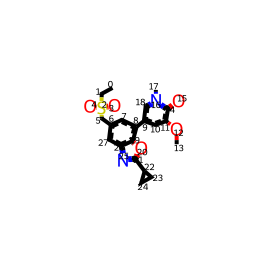 CCS(=O)(=O)Cc1cc(-c2cc(OC)c(=O)n(C)c2)c2oc(C3CC3)nc2c1